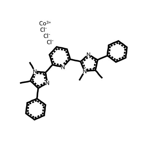 Cc1c(-c2ccccc2)nc(-c2cccc(-c3nc(-c4ccccc4)c(C)n3C)n2)n1C.[Cl-].[Cl-].[Cl-].[Co+3]